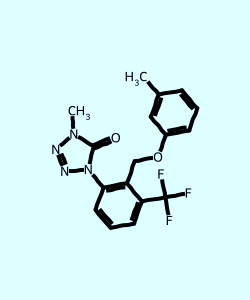 Cc1cccc(OCc2c(-n3nnn(C)c3=O)cccc2C(F)(F)F)c1